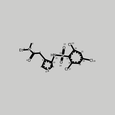 CCN(C)C(=O)Cc1cscc1NS(=O)(=O)c1c(Cl)cc(Cl)cc1Cl